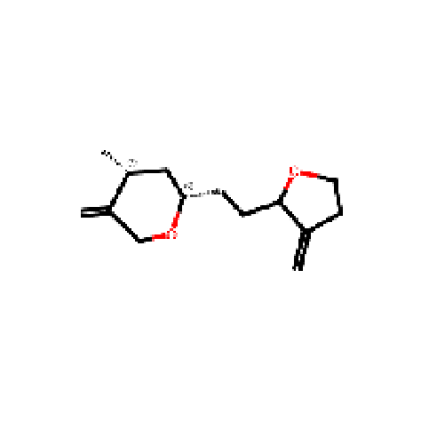 C=C1CCOC1CC[C@H]1C[C@@H](C)C(=C)CO1